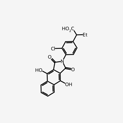 CCC(C(=O)O)c1ccc(N2C(=O)c3c(c(O)c4ccccc4c3O)C2=O)c(Cl)c1